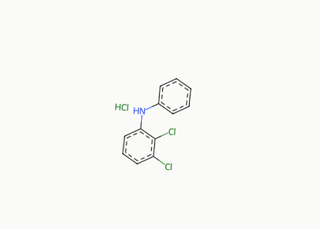 Cl.Clc1cccc(Nc2ccccc2)c1Cl